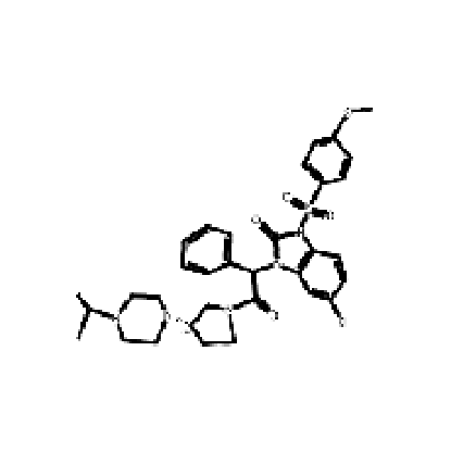 COc1ccc(S(=O)(=O)n2c(=O)n(C(C(=O)N3CC[C@H](N4CCN(C(C)C)CC4)C3)c3ccccc3)c3cc(Cl)ccc32)cc1